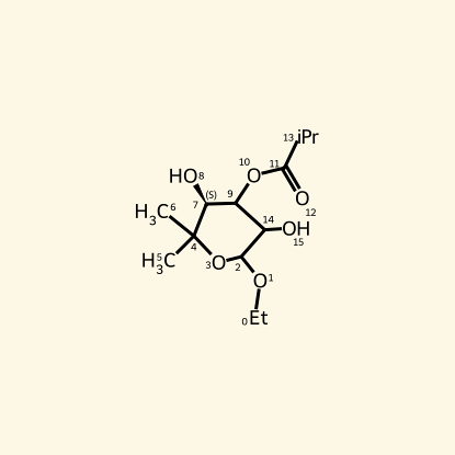 CCOC1OC(C)(C)[C@@H](O)C(OC(=O)C(C)C)C1O